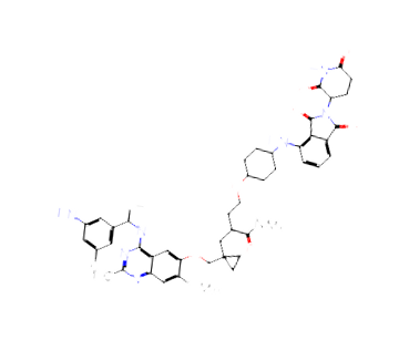 CNC(=O)C(CCOC1CCC(Nc2cccc3c2C(=O)N(C2CCC(=O)NC2=O)C3=O)CC1)CC1(COc2cc3c(NC(C)c4cc(N)cc(C(F)(F)F)c4)nc(C)nc3cc2OC)CC1